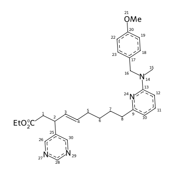 CCOC(=O)CC(/C=C/CCCCc1cccc(N(C)Cc2ccc(OC)cc2)n1)c1cncnc1